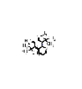 C=C/C(=c1/nccc/c1=C(/C=C)C(C)(C)C)C(C)(C)C